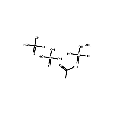 CC(=O)O.O=P(O)(O)O.O=P(O)(O)O.O=P(O)(O)O.[AlH3]